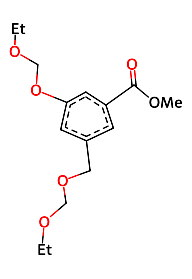 CCOCOCc1cc(OCOCC)cc(C(=O)OC)c1